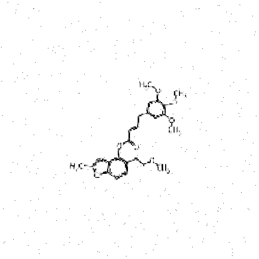 COCCc1ccc2oc(C)cc2c1OC(=O)/C=C/Cc1cc(OC)c(OC)c(OC)c1